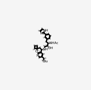 CC(=O)N[C@@H](Cc1cccc(-c2ncc[nH]2)c1)[C@H](O)CN[C@H]1CC2(CCC2)Oc2ncc(CC(C)(C)C)cc21